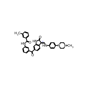 Cc1cccc(C(=O)Nc2cccc(C(=O)c3ccc4c(c3)NC(=O)/C4=C/Nc3ccc(N4CCN(C)CC4)cc3)c2)c1